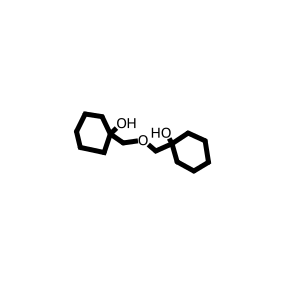 OC1(COCC2(O)CCCCC2)CCCCC1